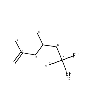 C=C(C)CC(C)CC(F)(F)CC